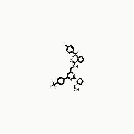 O=C(NCc1cc(-c2ccc(C(F)(F)F)cc2)nc(N2CCC[C@H]2CO)n1)[C@@H]1CCCN1S(=O)(=O)c1ccc(F)cc1